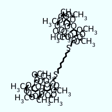 CC(=O)OC[C@H]1O[C@H](O[C@@H]2[C@H](OC(C)=O)[C@@H](OC(C)=O)[C@H](OCCSCCCCCCCCCSCCO[C@@H]3O[C@H](COC(C)=O)[C@H](O[C@H]4O[C@H](COC(C)=O)[C@H](OC(C)=O)[C@H](OC(C)=O)[C@H]4OC(C)=O)[C@H](OC(C)=O)[C@H]3OC(C)=O)O[C@@H]2COC(C)=O)[C@H](OC(C)=O)[C@@H](OC(C)=O)[C@H]1OC(C)=O